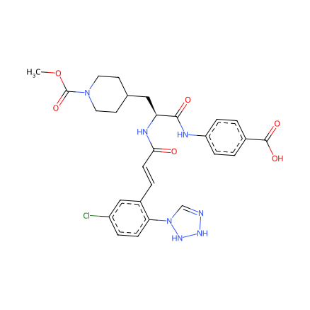 COC(=O)N1CCC(C[C@H](NC(=O)/C=C/c2cc(Cl)ccc2N2C=NNN2)C(=O)Nc2ccc(C(=O)O)cc2)CC1